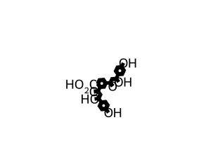 O=C(C=C(O)c1ccc(O)cc1)c1ccc(C(=O)O)c(C(=O)C=C(O)c2ccc(O)cc2)c1